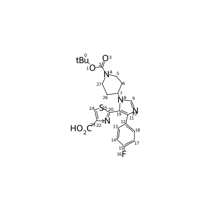 CC(C)(C)OC(=O)N1CCC(n2cnc(-c3ccc(F)cc3)c2-c2nc(C(=O)O)cs2)CC1